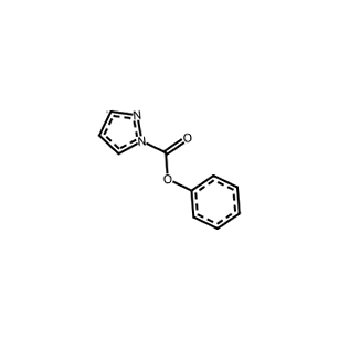 O=C(Oc1ccccc1)n1cc[c]n1